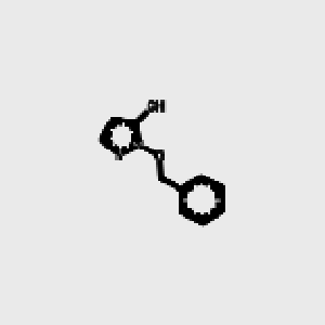 Oc1ccnn1OCc1ccccc1